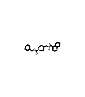 O=C(NCC1CCN(C(=O)OCc2ccccc2)CC1)c1ccnc2ccccc12